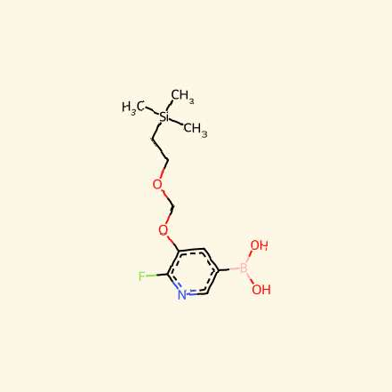 C[Si](C)(C)CCOCOc1cc(B(O)O)cnc1F